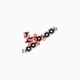 C=C(C)C(=O)OCC(COC(=O)c1cc(OC(=O)C2CCC(C3CCC(CC)CC3)CC2)ccc1OC(=O)C1CCC(C2CCC(CC)CC2)CC1)OC(=O)C(=C)C